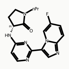 CCCN1CC[C@@H](Nc2ccnc(-c3cnc4ccc(F)cn34)n2)C1=O